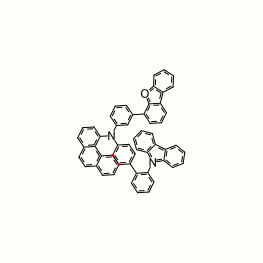 c1cc(-c2cccc3c2oc2ccccc23)cc(N(c2ccc(-c3ccccc3-n3c4ccccc4c4ccccc43)cc2)c2cccc3ccc4ccccc4c23)c1